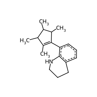 CC1=C(c2cccc3c2NCCC3)C(C)C(C)C1C